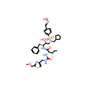 CC[C@H](C)[C@H](NC(=O)N(C)Cc1csc(COC)n1)C(=O)N[C@@H](Cc1ccccc1)[C@@H](O)CN(CC1CCCC1)S(=O)(=O)c1ccc(C=NO)cc1